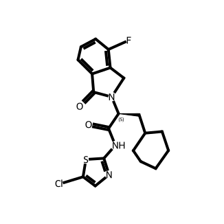 O=C(Nc1ncc(Cl)s1)[C@H](CC1CCCCC1)N1Cc2c(F)cccc2C1=O